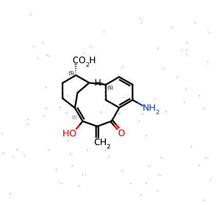 C=C1C(=O)C2=C(N)C=C[C@@H](C2)C2C/C(=C\1O)CC[C@@H]2C(=O)O